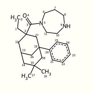 CCC1(C(=O)N2CCCNCC2)CC2CC(C)(C)CC(c3ccccc3)(C2)C1